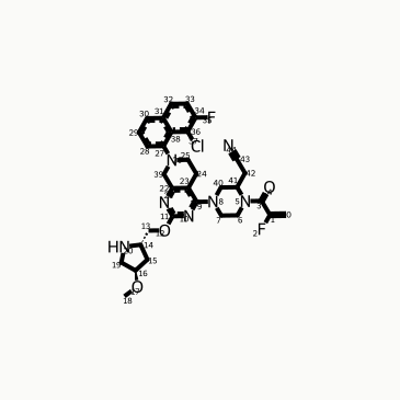 C=C(F)C(=O)N1CCN(c2nc(OC[C@@H]3C[C@@H](OC)CN3)nc3c2CCN(c2cccc4ccc(F)c(Cl)c24)C3)CC1CC#N